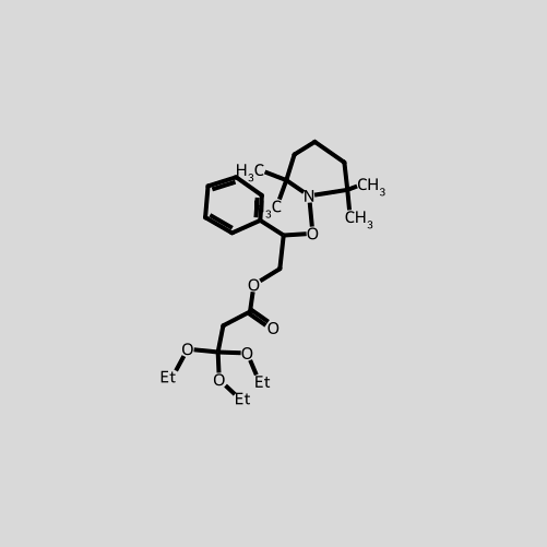 CCOC(CC(=O)OCC(ON1C(C)(C)CCCC1(C)C)c1ccccc1)(OCC)OCC